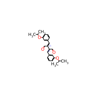 CC(C)Oc1cccc(/C=C(C=O)/C(C=O)=C/c2cccc(OC(C)C)c2)c1